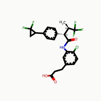 C[C@H]([C@H](C(=O)Nc1cc(CCC(=O)O)ccc1Cl)c1ccc(C2CC2(F)F)cc1)C(F)(F)F